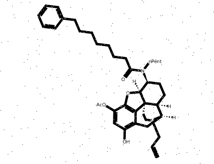 C=CCN1CC[C@]23c4c5c(O)cc(OC(C)=O)c4O[C@H]2[C@@H](N(CCCCC)C(=O)CCCCCCCc2ccccc2)CC[C@H]3[C@H]1C5